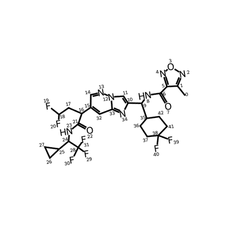 Cc1nonc1C(=O)NC(c1cn2ncc(C(CC(F)F)C(=O)NC(C3CC3)C(F)(F)F)cc2n1)C1CCC(F)(F)CC1